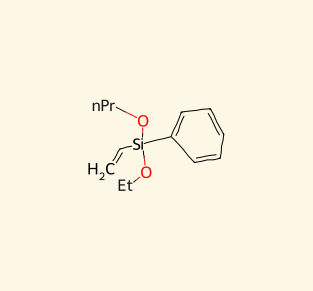 C=C[Si](OCC)(OCCC)c1ccccc1